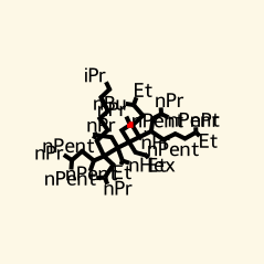 CCCCCCC(CC)C(CC(CCC)CCCCC)(C(CCCCCCC(C)C)(CC(CCC)CCCCC)C(C)CC(CCC)CCCCC)C(CC(CC)CCCCC)(CC(CCC)CCCCC)C(CCC)(CCC(CC)CCCC)[C](CCCC(CC)CCC)CC(CCC)CCCCC